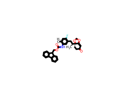 Cc1cc(F)c(C[C@H](C)[C@]23CCC(=O)C=C2OCO3)cc1NC(=O)OCC1c2ccccc2-c2ccccc21